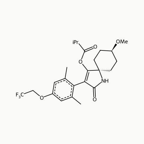 CO[C@H]1CC[C@]2(CC1)NC(=O)C(c1c(C)cc(OCC(F)(F)F)cc1C)=C2OC(=O)C(C)C